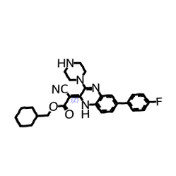 N#C/C(C(=O)OCC1CCCCC1)=C1/Nc2ccc(-c3ccc(F)cc3)cc2N=C1N1CCNCC1